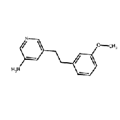 COc1cccc(CCc2cncc(N)c2)c1